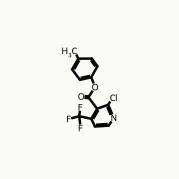 Cc1ccc(OC(=O)c2c(C(F)(F)F)ccnc2Cl)cc1